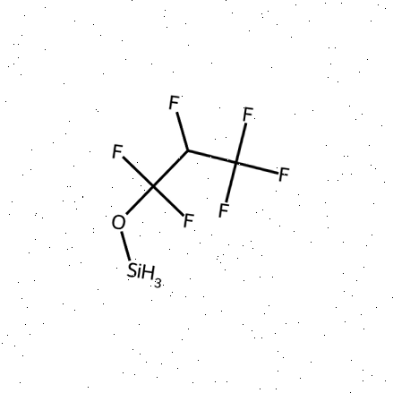 FC(C(F)(F)F)C(F)(F)O[SiH3]